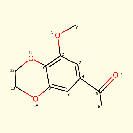 COc1cc(C(C)=O)cc2c1OCCO2